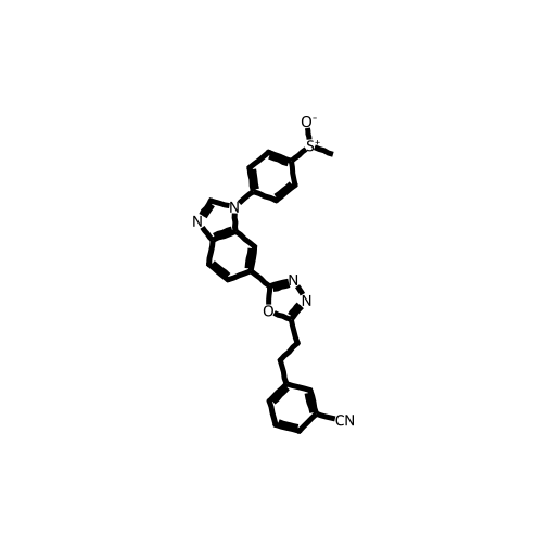 C[S+]([O-])c1ccc(-n2cnc3ccc(-c4nnc(CCc5cccc(C#N)c5)o4)cc32)cc1